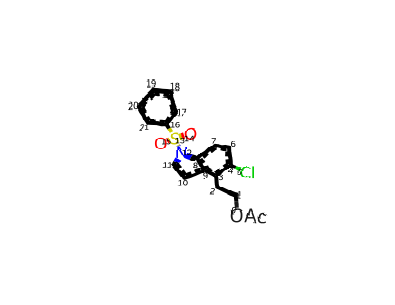 CC(=O)OCCc1c(Cl)ccc2c1ccn2S(=O)(=O)c1ccccc1